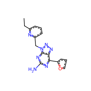 CCc1cccc(Cn2nnc3c(-c4ccco4)nc(N)nc32)n1